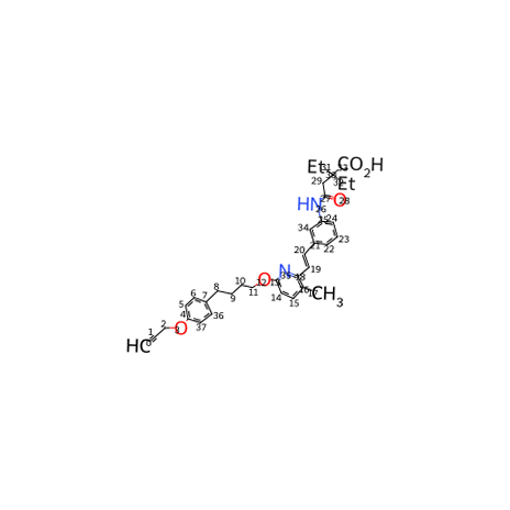 C#CCOc1ccc(CCCCOc2ccc(C)c(C=Cc3cccc(NC(=O)CC(CC)(CC)C(=O)O)c3)n2)cc1